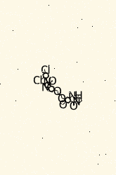 COc1cc2c(cc1OCCOc1ccc3nc(C)n(-c4ccc(Cl)cc4Cl)c(=O)c3c1)N=C[C@@H]1CCCN1C2=O